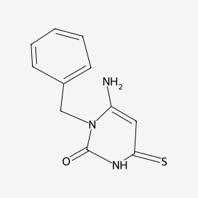 Nc1cc(=S)[nH]c(=O)n1Cc1ccccc1